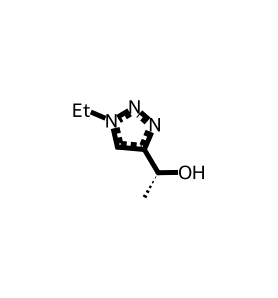 CCn1cc([C@@H](C)O)nn1